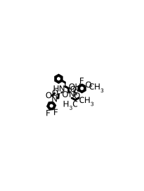 CC[C@H](C)CN(C[C@@H](O)[C@H](Cc1ccccc1)NC(=O)[C@@H]1CN(c2ccc(F)c(F)c2)C(=O)O1)S(=O)(=O)c1ccc(OC)c(F)c1